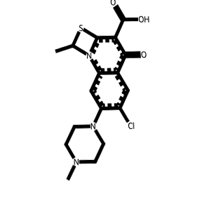 CC1Sc2c(C(=O)O)c(=O)c3cc(Cl)c(N4CCN(C)CC4)cc3n21